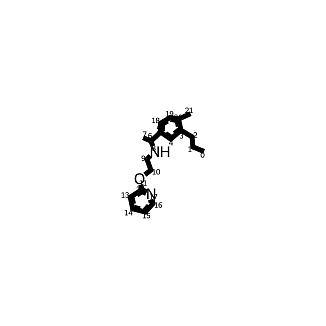 CCCc1cc(C(C)NCCOc2ccccn2)ccc1C